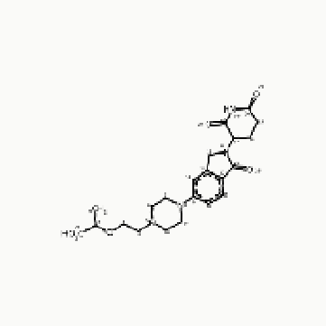 CC(OCCN1CCN(c2ccc3c(c2)CN(C2CCC(=O)NC2=O)C3=O)CC1)C(=O)O